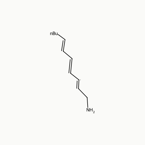 CCCCC=CC=C[C]=CCN